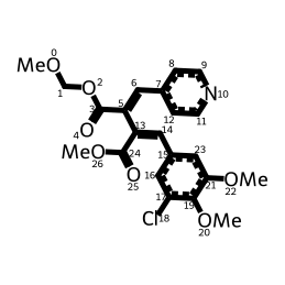 COCOC(=O)C(=Cc1ccncc1)C(=Cc1cc(Cl)c(OC)c(OC)c1)C(=O)OC